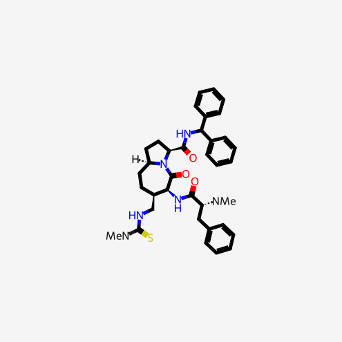 CNC(=S)NC[C@H]1CC[C@H]2CC[C@@H](C(=O)NC(c3ccccc3)c3ccccc3)N2C(=O)[C@H]1NC(=O)[C@@H](Cc1ccccc1)NC